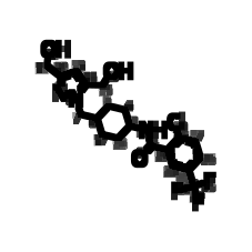 O=C(NC1CCC(Cn2nc(CO)cc2CO)CC1)c1cc(C(F)(F)F)ccc1Cl